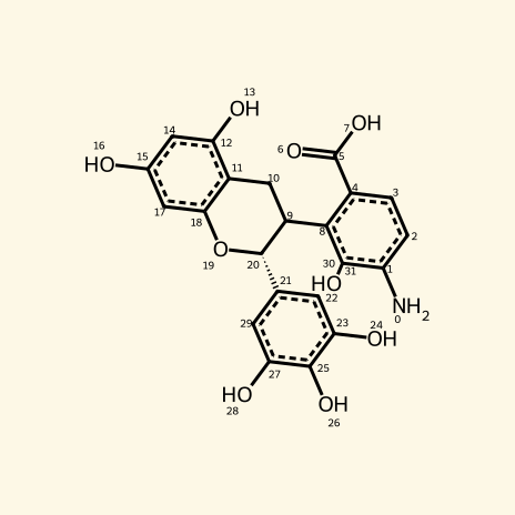 Nc1ccc(C(=O)O)c(C2Cc3c(O)cc(O)cc3O[C@H]2c2cc(O)c(O)c(O)c2)c1O